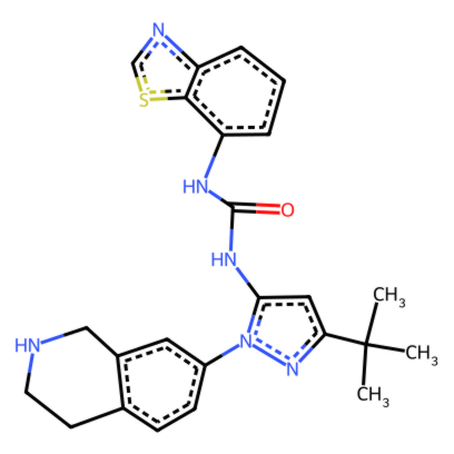 CC(C)(C)c1cc(NC(=O)Nc2cccc3ncsc23)n(-c2ccc3c(c2)CNCC3)n1